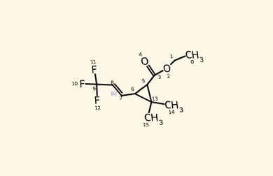 CCOC(=O)C1C(/C=C/C(F)(F)F)C1(C)C